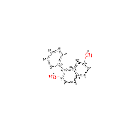 Oc1ccc2ccc(O)c(-c3ccccc3)c2c1